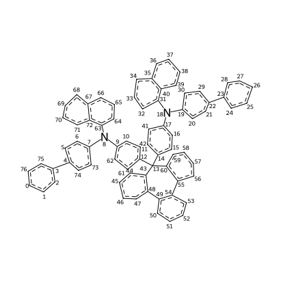 c1ccc(-c2ccc(N(c3ccc(C4(c5ccc(N(c6ccc(-c7ccccc7)cc6)c6cccc7ccccc67)cc5)c5ccccc5-c5ccccc5-c5ccccc54)cc3)c3cccc4ccccc34)cc2)cc1